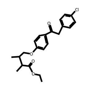 CCOC(=O)C(C)C(C)COc1ccc(C(=O)Cc2ccc(Cl)cc2)cc1